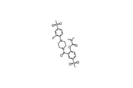 CN(C)C(=O)Oc1ccc(S(C)(=O)=O)cc1C(=O)N1CCN(c2ccc(S(C)(=O)=O)cc2F)CC1